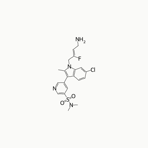 Cc1c(-c2cncc(S(=O)(=O)N(C)C)c2)c2ccc(Cl)cc2n1CC(F)=CCN